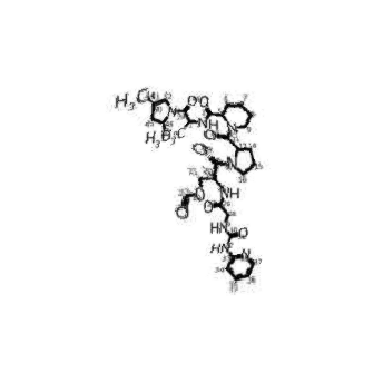 CC(NC(=O)C1CCCCN1C(=O)C1CCCN1C(=O)[C@H](COC=O)NC(=O)CNC(=O)Nc1ccccn1)C(=O)N1C[C@H](C)CC1C